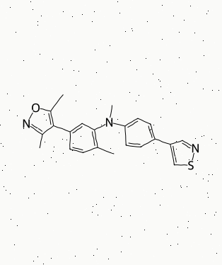 Cc1ccc(-c2c(C)noc2C)cc1N(C)c1ccc(-c2cnsc2)cc1